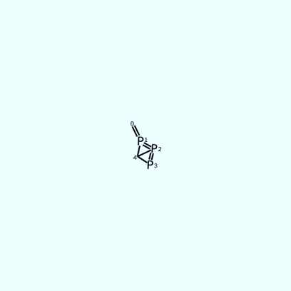 C=P1=P2=PC12